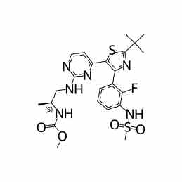 COC(=O)N[C@@H](C)CNc1nccc(-c2sc(C(C)(C)C)nc2-c2cccc(NS(C)(=O)=O)c2F)n1